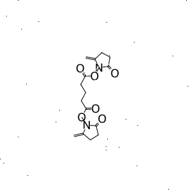 C=C1CCC(=O)N1OC(=O)CCCC(=O)ON1C(=C)CCC1=O